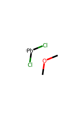 COC.[Cl][Pb][Cl]